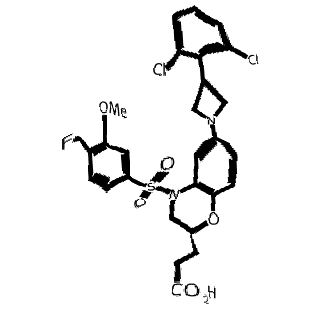 COc1cc(S(=O)(=O)N2C[C@H](CCC(=O)O)Oc3ccc(N4CC(c5c(Cl)cccc5Cl)C4)cc32)ccc1F